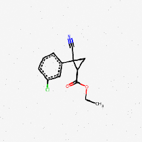 CCOC(=O)C1CC1(C#N)c1cccc(Cl)c1